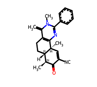 [C-]#[N+]C1=C[C@]2(C)C3=C(CC[C@H]2[C@H](C)C1=O)C(=C)N(C)C(c1ccccc1)=N3